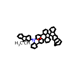 CC1(C)c2ccccc2-c2ccc(N(c3ccc(-c4cccc5c4-c4ccccc4C54c5ccccc5-c5cc6c(cc54)C4C5C=CC6C=CC54)cc3)c3ccccc3-c3ccccc3)cc21